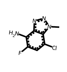 Cn1nnc2c(N)c(F)cc(Cl)c21